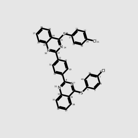 Clc1ccc(Sc2nc(-c3ccc(-c4nc(Sc5ccc(Cl)cc5)c5ccccc5n4)cc3)nc3ccccc23)cc1